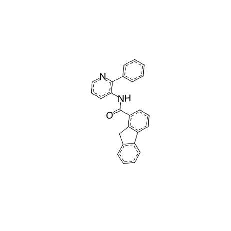 O=C(Nc1cccnc1-c1ccccc1)c1cccc2c1Cc1ccccc1-2